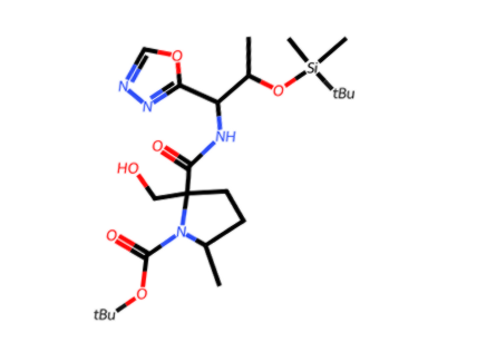 CC(O[Si](C)(C)C(C)(C)C)C(NC(=O)C1(CO)CCC(C)N1C(=O)OC(C)(C)C)c1nnco1